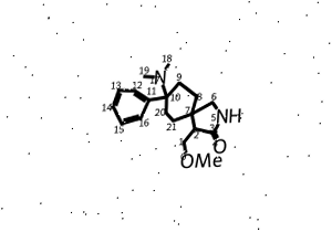 COCC1C(=O)NCC12CCC(c1ccccc1)(N(C)C)CC2